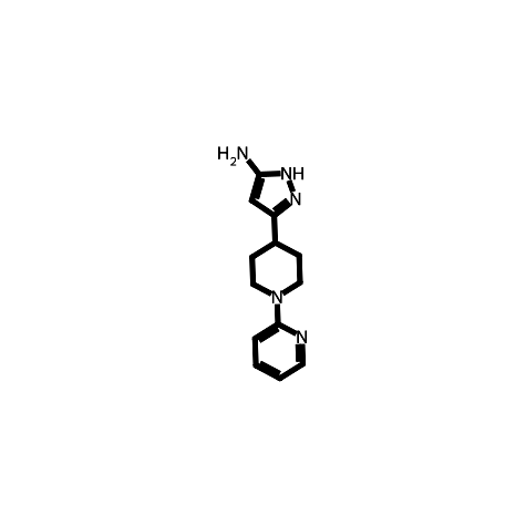 Nc1cc(C2CCN(c3ccccn3)CC2)n[nH]1